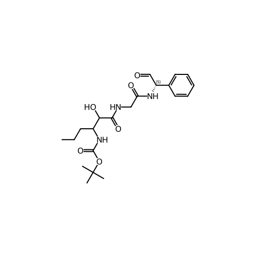 CCCC(NC(=O)OC(C)(C)C)C(O)C(=O)NCC(=O)N[C@H](C=O)c1ccccc1